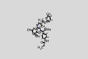 C=CC(=O)Nc1ccc(/C(=C/C=C(/N=C\N(C)C(C)Oc2nccc(C)n2)N(CC(=C)CC)C(=O)OC(C)(C)C)NC)cc1